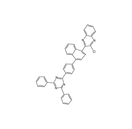 Clc1nc2ccccc2nc1-c1ccc(-c2ccc(-c3nc(-c4ccccc4)nc(-c4ccccc4)n3)cc2)c2ccccc12